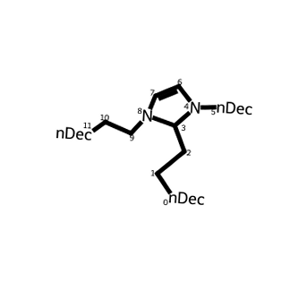 CCCCCCCCCCCCC1N(CCCCCCCCCC)C=CN1CCCCCCCCCCCC